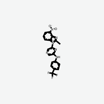 Cc1nc2c([N+](=O)[O-])cccc2n1-c1cncc(Nc2ccc(C(F)(F)F)cc2)n1